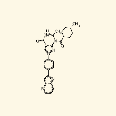 CC(C)N(c1nn(-c2ccc(-c3cc4ncccn4n3)cc2)cc1C(=O)O)C(=O)[C@H]1CC[C@H](C)CC1